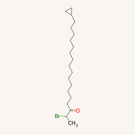 CC(Br)C(=O)CCCCCCCCCCCCCCC1CC1